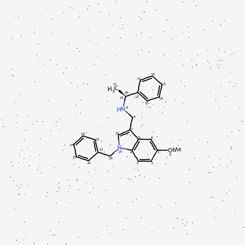 COc1ccc2c(c1)c(CN[C@@H](C)c1ccccc1)cn2Cc1ccccc1